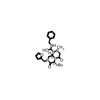 CCCC[C@H]1C(=O)N(Cc2ccco2)C[C@H]2N1C(=O)CN(C)N2C(O)NCc1ccccc1